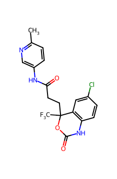 Cc1ccc(NC(=O)CCC2(C(F)(F)F)OC(=O)Nc3ccc(Cl)cc32)cn1